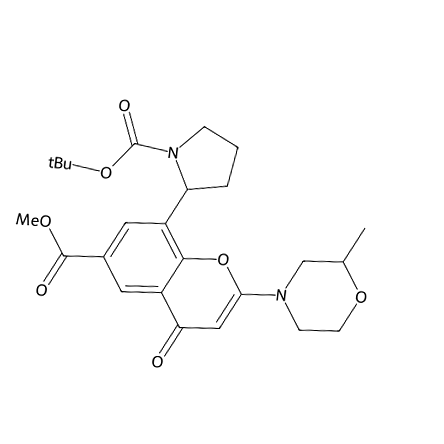 COC(=O)c1cc(C2CCCN2C(=O)OC(C)(C)C)c2oc(N3CCOC(C)C3)cc(=O)c2c1